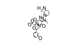 CCn1c(N2CCCC(N)C2)nc2c(=O)n(CC(=O)OC)n(CC(=O)c3cccc(OC)c3)c(=O)c21